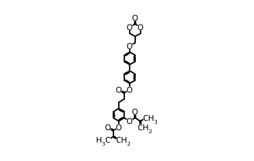 C=C(C)C(=O)Oc1ccc(CCC(=O)Oc2ccc(-c3ccc(OCC4COC(=O)OC4)cc3)cc2)cc1OC(=O)C(=C)C